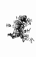 C[C@H](OC1C(O)[C@H](OC(C(O)[C@H](O)OC2C(O)[C@H](C(C)(C)OCCN=[N+]=[N-])OC(C(=O)O)[C@H]2O)[C@@H](C)O)OC(C(=O)O)[C@H]1O)/C(O)=C(\O)[C@@H](C)O